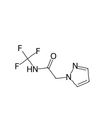 O=C(Cn1cccn1)NC(F)(F)F